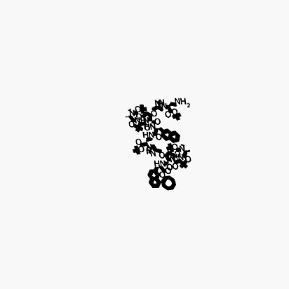 C[C@@H](C(=O)N[C@H](C(=O)N1CC[C@H](OCc2cn([C@@H](CCN)C(=O)OC(C)(C)C)nn2)[C@H]1C(=O)N[C@@H](Cc1ccc2ccccc2c1)C(=O)NCC[C@@H](C(=O)OC(C)(C)C)n1cc(CO[C@H]2CCN(C(=O)[C@@H](NC(=O)[C@H](C)N(C)C(=O)OC(C)(C)C)C(C)(C)C)[C@@H]2C(=O)N[C@@H](Cc2ccc3ccccc3c2)C(=O)O/C2=C/CCCCCC2)nn1)C(C)(C)C)N(C)C(=O)OC(C)(C)C